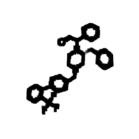 O=CC(c1ccccc1)N1CCN(Cc2ccc(-c3ccccc3C(F)(F)F)cc2)C[C@H]1Cc1ccccc1